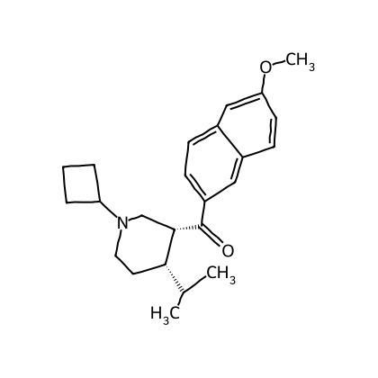 COc1ccc2cc(C(=O)[C@H]3CN(C4CCC4)CC[C@H]3C(C)C)ccc2c1